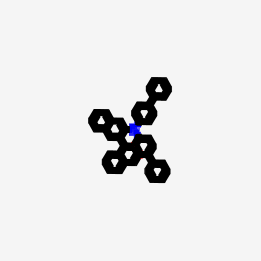 c1ccc(-c2ccc(N(c3ccc(-c4ccccc4)cc3)c3cc4ccccc4cc3-c3cccc4ccccc34)cc2)cc1